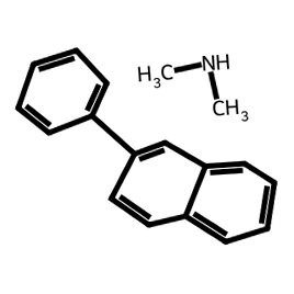 CNC.c1ccc(-c2ccc3ccccc3c2)cc1